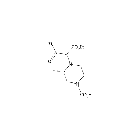 CCOC(=O)C(C(=O)CC)N1CCN(C(=O)O)C[C@@H]1C